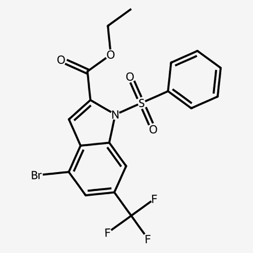 CCOC(=O)c1cc2c(Br)cc(C(F)(F)F)cc2n1S(=O)(=O)c1ccccc1